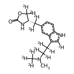 [2H]c1[nH]c2ccc(C([2H])([2H])[C@@H]3NC(=O)OC3([2H])[2H])cc2c1C([2H])([2H])C([2H])([2H])N(C)C([2H])([2H])[2H]